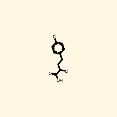 O=C(O)C(Cl)CCc1ccc(Cl)cc1